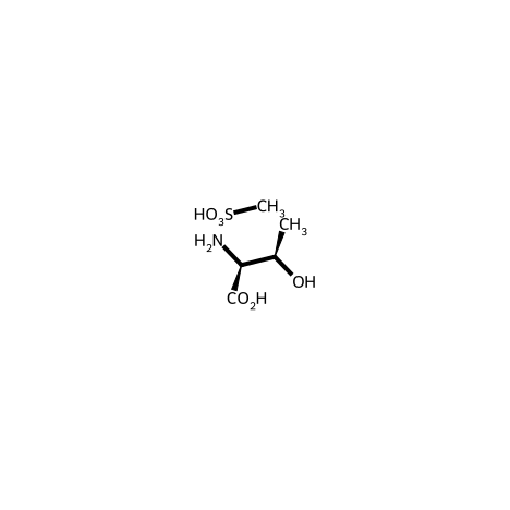 CS(=O)(=O)O.C[C@@H](O)[C@H](N)C(=O)O